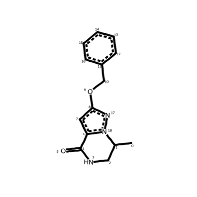 CC1CNC(=O)c2cc(OCc3ccccc3)nn21